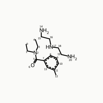 CCN(CC)C(=O)c1cccc(C)c1.NCCNCCN